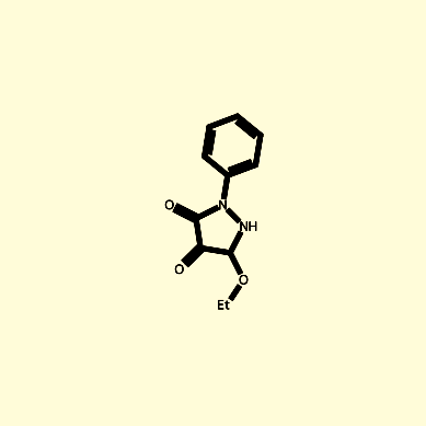 CCOC1NN(c2ccccc2)C(=O)C1=O